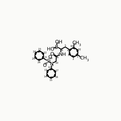 Cc1ccc(CC(NC(=O)CN(c2ccccc2)S(=O)(=O)c2ccccc2)B(O)O)c(C)c1